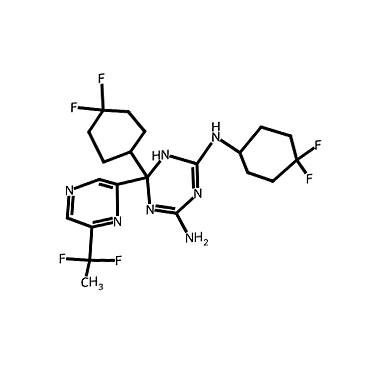 CC(F)(F)c1cncc(C2(C3CCC(F)(F)CC3)N=C(N)N=C(NC3CCC(F)(F)CC3)N2)n1